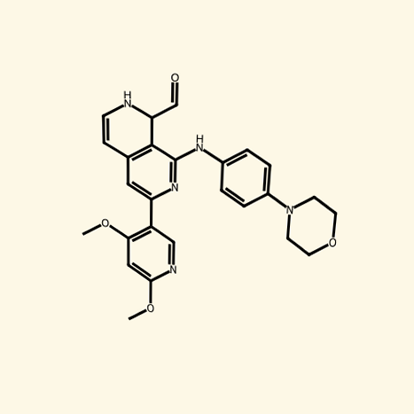 COc1cc(OC)c(-c2cc3c(c(Nc4ccc(N5CCOCC5)cc4)n2)C(C=O)NC=C3)cn1